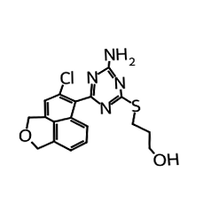 Nc1nc(SCCCO)nc(-c2c(Cl)cc3c4c(cccc24)COC3)n1